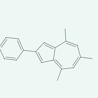 Cc1cc(C)c2cc(-c3ccccc3)cc-2c(C)c1